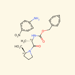 C[C@H](NC(=O)OCc1ccccc1)C(=O)N1CCC[C@H]1C(=O)O.Nc1ccc([N+](=O)[O-])cc1